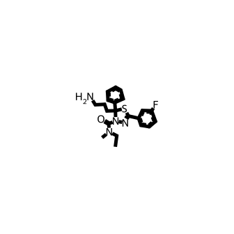 CCN(C)C(=O)N1N=C(c2cccc(F)c2)SC1(CCCN)c1ccccc1